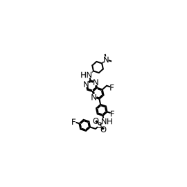 CN(C)[C@H]1CC[C@H](Nc2ncc3nc(-c4ccc(NS(=O)(=O)Cc5ccc(F)cc5)c(F)c4)cc(CF)c3n2)CC1